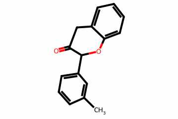 Cc1cccc(C2Oc3ccccc3CC2=O)c1